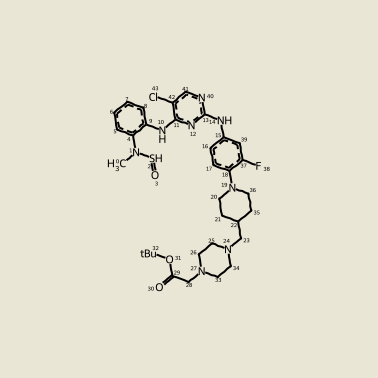 CN([SH]=O)c1ccccc1Nc1nc(Nc2ccc(N3CCC(CN4CCN(CC(=O)OC(C)(C)C)CC4)CC3)c(F)c2)ncc1Cl